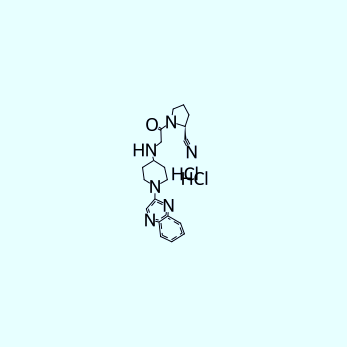 Cl.Cl.N#C[C@@H]1CCCN1C(=O)CNC1CCN(c2cnc3ccccc3n2)CC1